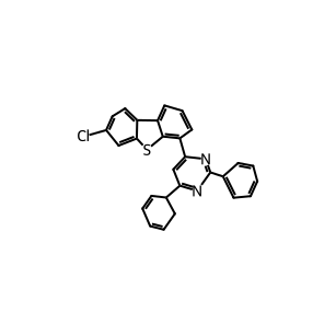 Clc1ccc2c(c1)sc1c(-c3cc(C4C=CC=CC4)nc(-c4ccccc4)n3)cccc12